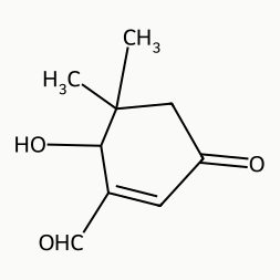 CC1(C)CC(=O)C=C(C=O)C1O